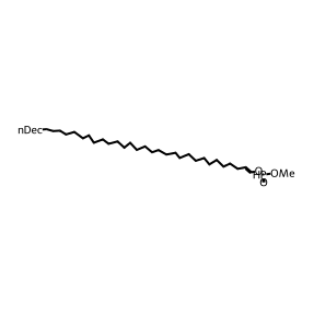 CCCCCCCCCCCCCCCCCCCCCCCCCCCCCCCCCCCCCCC=CO[PH](=O)OC